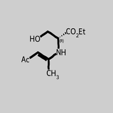 CCOC(=O)[C@@H](CO)NC(C)=CC(C)=O